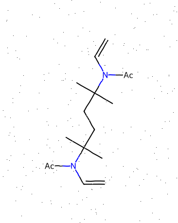 C=CN(C(C)=O)C(C)(C)CCC(C)(C)N(C=C)C(C)=O